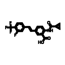 O=C(O)c1cc(C=Cc2ccc(C(F)(F)F)c(F)c2)ccc1NC(=O)C1CC1